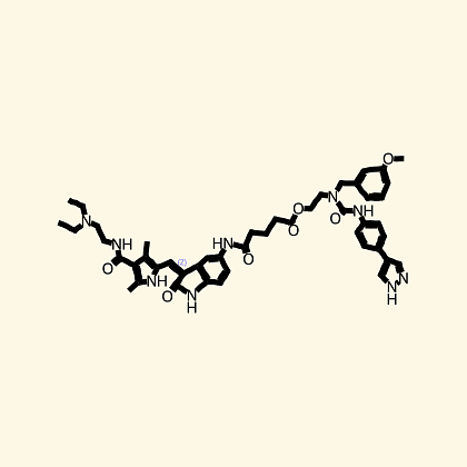 CCN(CC)CCNC(=O)c1c(C)[nH]c(/C=C2\C(=O)Nc3ccc(NC(=O)CCCC(=O)OCCN(Cc4cccc(OC)c4)C(=O)Nc4ccc(-c5cn[nH]c5)cc4)cc32)c1C